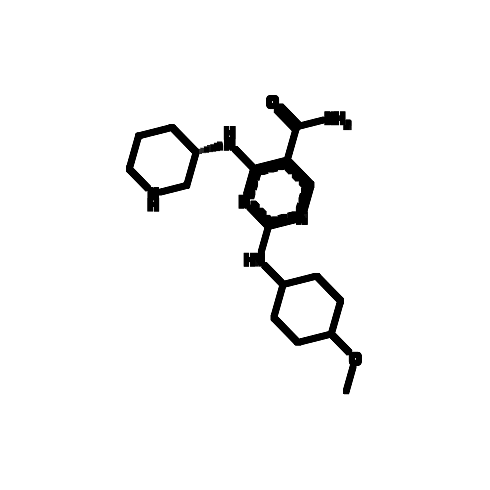 COC1CCC(Nc2ncc(C(N)=O)c(N[C@H]3CCCNC3)n2)CC1